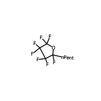 CCCCCC1(F)OC(F)(F)C(F)(F)C1(F)F